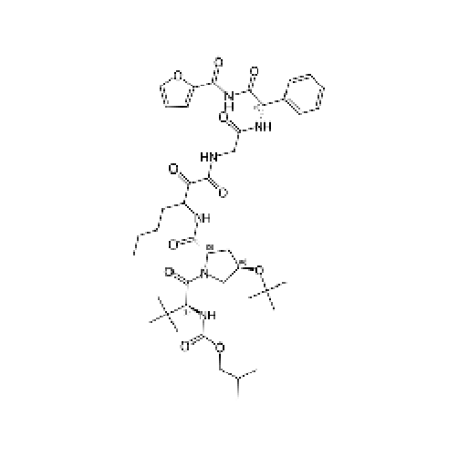 CCCCC(NC(=O)[C@@H]1C[C@@H](OC(C)(C)C)CN1C(=O)[C@@H](NC(=O)OCC(C)C)C(C)(C)C)C(=O)C(=O)NCC(=O)N[C@H](C(=O)NC(=O)c1ccco1)c1ccccc1